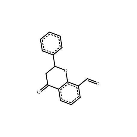 O=Cc1cccc2c1OC(c1ccccc1)CC2=O